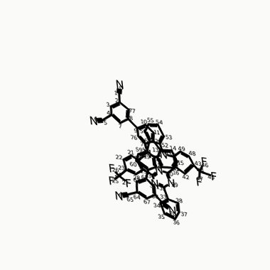 N#Cc1cc(C#N)cc(-c2ccc3c4ccccc4n(-c4ccc(C(F)(F)F)cc4-c4nc(-c5ccccc5)nc(-c5cc(C(F)(F)F)ccc5-n5c6ccccc6c6ccc(-c7cc(C#N)cc(C#N)c7)cc65)n4)c3c2)c1